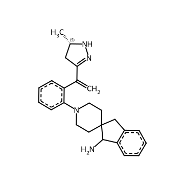 C=C(C1=NN[C@@H](C)C1)c1ccccc1N1CCC2(CC1)Cc1ccccc1C2N